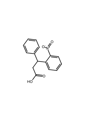 O=C(O)CC(c1ccccc1)c1ccccc1[N+](=O)[O-]